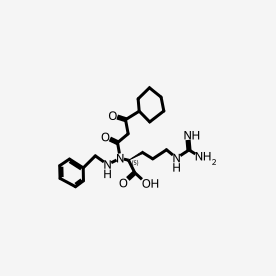 N=C(N)NCCC[C@@H](C(=O)O)N(NCc1ccccc1)C(=O)CC(=O)C1CCCCC1